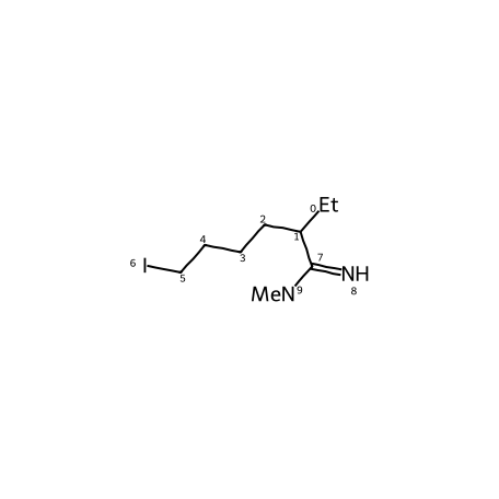 CCC(CCCCI)C(=N)NC